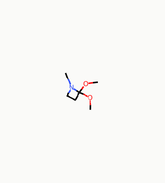 COC1(OC)CCN1C